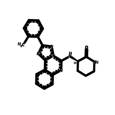 Cc1ccccc1-c1nc2c3ccccc3nc(N[C@@H]3CCCNC3=O)n2n1